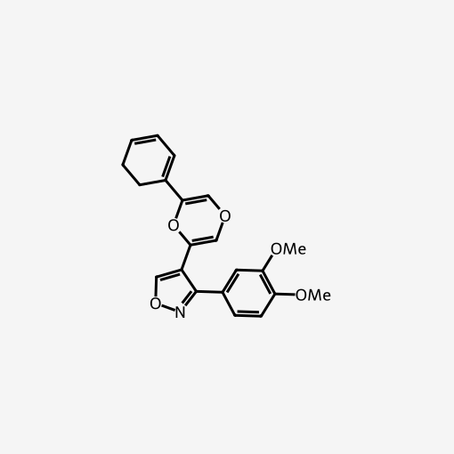 COc1ccc(-c2nocc2C2=COC=C(C3=CC=CCC3)O2)cc1OC